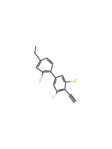 C#Cc1c(F)cc(-c2ccc(CC)cc2F)cc1F